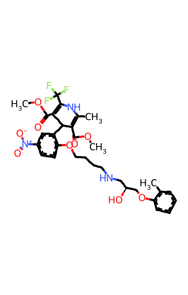 COC(=O)C1=C(C)NC(C(F)(F)F)=C(C(=O)OC)C1c1cc([N+](=O)[O-])ccc1OCCCCNC[C@H](O)COc1ccccc1C